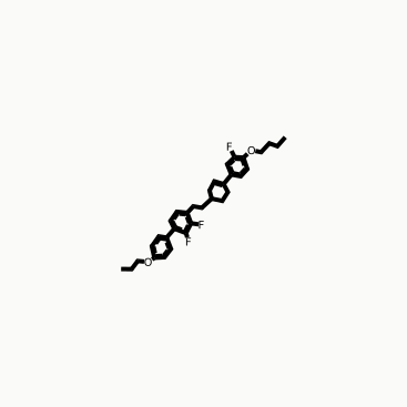 CCCCOc1ccc(C2=CCC(CCc3ccc(-c4ccc(OCCC)cc4)c(F)c3F)CC2)cc1F